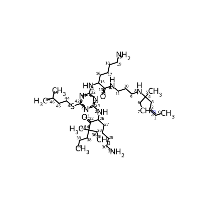 C/C=C\CC(C)(CC)NCCCNC(=O)C(CCCCN)Nc1nc(NC(CCCCN)C(=O)C(C)(CC)CCC)nc(SCCC(C)C)n1